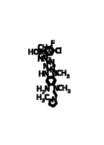 COc1cc(N(C)CCN2CCC[C@@H]2C)c(N)cc1Nc1ncnc(Nc2cc(Cl)c(F)cc2C(C)(C)O)n1